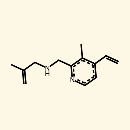 C=Cc1ccnc(CNCC(=C)C)c1C